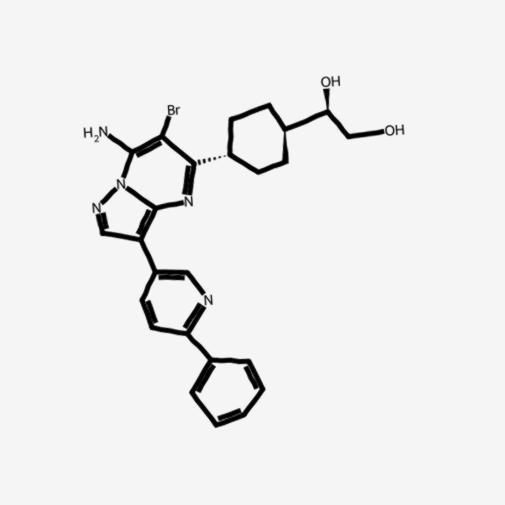 Nc1c(Br)c([C@H]2CC[C@H]([C@@H](O)CO)CC2)nc2c(-c3ccc(-c4ccccc4)nc3)cnn12